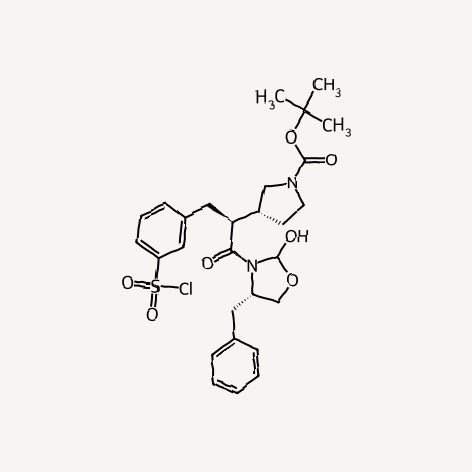 CC(C)(C)OC(=O)N1CC[C@H]([C@H](Cc2cccc(S(=O)(=O)Cl)c2)C(=O)N2C(O)OC[C@@H]2Cc2ccccc2)C1